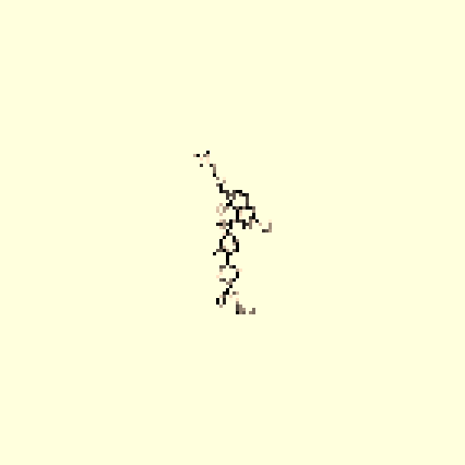 Cc1cc(Nc2nc(Cl)cc3ccn(COCC[Si](C)(C)C)c(=O)c23)ccc1C1CCN(C(=O)OC(C)(C)C)CC1